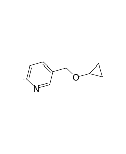 [c]1ccc(COC2CC2)cn1